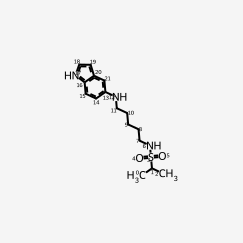 CC(C)S(=O)(=O)NCCCCCNc1ccc2[nH]ccc2c1